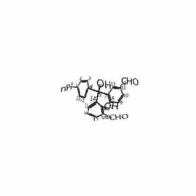 CCCc1ccc(C(O)(c2cccc(C=O)c2)c2cccc(C=O)c2O)cc1